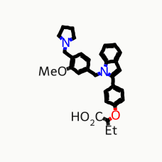 CCC(Oc1ccc(-c2cc3ccccc3n2Cc2ccc(CN3CCCC3)c(OC)c2)cc1)C(=O)O